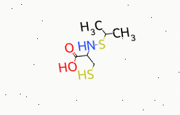 CC(C)SNC(CS)C(=O)O